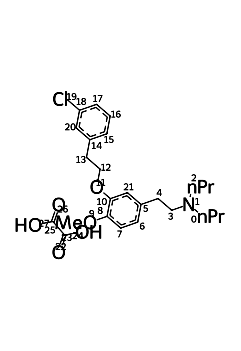 CCCN(CCC)CCc1ccc(OC)c(OCCc2cccc(Cl)c2)c1.O=C(O)C(=O)O